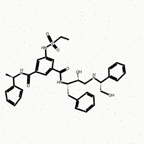 CCS(=O)(=O)Nc1cc(C(=O)N[C@@H](Cc2ccccc2)[C@H](O)CN[C@@H](CO)c2ccccc2)cc(C(=O)N[C@H](C)c2ccccc2)c1